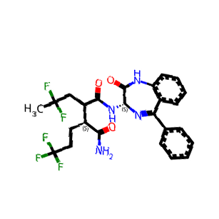 CC(F)(F)CC(C(=O)N[C@H]1N=C(c2ccccc2)c2ccccc2NC1=O)[C@H](CCC(F)(F)F)C(N)=O